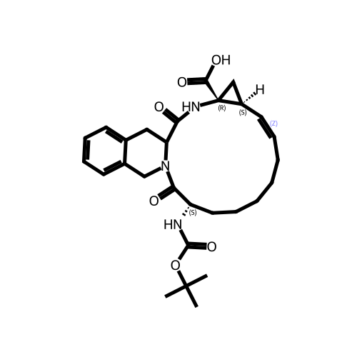 CC(C)(C)OC(=O)N[C@H]1CCCCC/C=C\[C@@H]2C[C@@]2(C(=O)O)NC(=O)C2Cc3ccccc3CN2C1=O